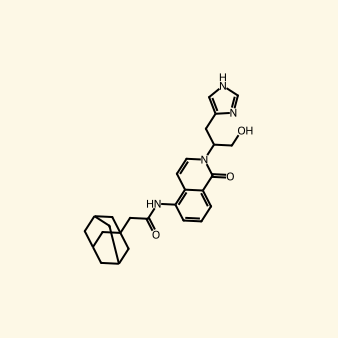 O=C(CC12CC3CC(CC(C3)C1)C2)Nc1cccc2c(=O)n(C(CO)Cc3c[nH]cn3)ccc12